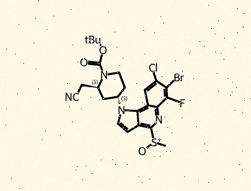 C[S+]([O-])c1nc2c(F)c(Br)c(Cl)cc2c2c1ccn2[C@H]1CCN(C(=O)OC(C)(C)C)[C@H](CC#N)C1